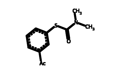 CC(=O)c1cccc(SC(=O)N(C)C)c1